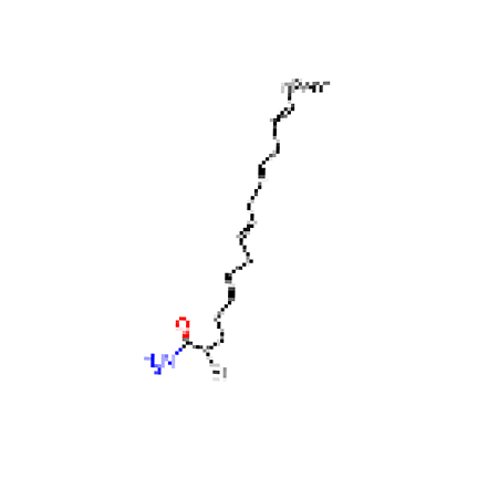 CCCCCC=CCC=CCC=CCC=CCCC(CC)C(N)=O